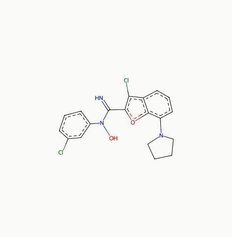 N=C(c1oc2c(N3CCCC3)cccc2c1Cl)N(O)c1cccc(Cl)c1